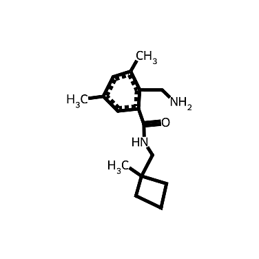 Cc1cc(C)c(CN)c(C(=O)NCC2(C)CCC2)c1